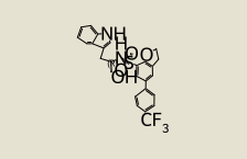 O=S(=O)(N[C@@H](CO)Cc1c[nH]c2ccccc12)c1cc(-c2ccc(C(F)(F)F)cc2)cc2c1OCC2